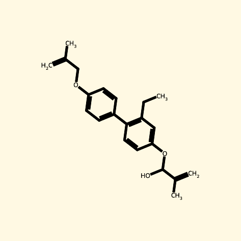 C=C(C)COc1ccc(-c2ccc(OC(O)C(=C)C)cc2CC)cc1